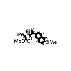 CCCC(C(=O)OC)N(N)C(=O)C(C)c1ccc2cc(OC)ccc2c1